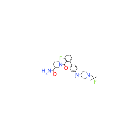 CN(c1ccc(-c2cccc(F)c2C(=O)N2CCCC(C(N)=O)C2)cc1)C1CCN(CC(C)(C)F)CC1